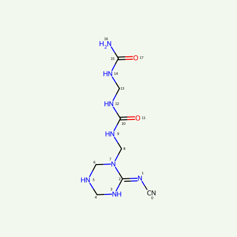 N#C/N=C1\NCNCN1CNC(=O)NCNC(N)=O